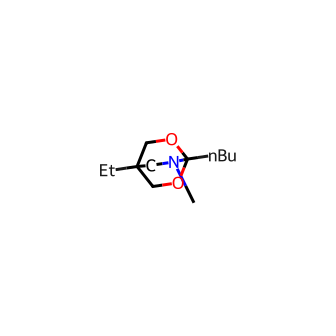 CCCCC12OCC(CC)(CO1)CN2C